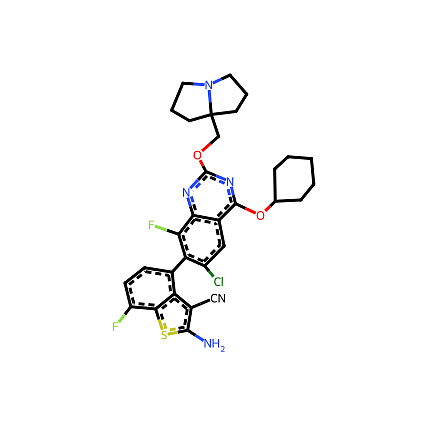 N#Cc1c(N)sc2c(F)ccc(-c3c(Cl)cc4c(OC5CCCCC5)nc(OCC56CCCN5CCC6)nc4c3F)c12